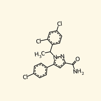 CC(c1ccc(Cl)cc1Cl)n1nc(C(N)=O)cc1-c1ccc(Cl)cc1